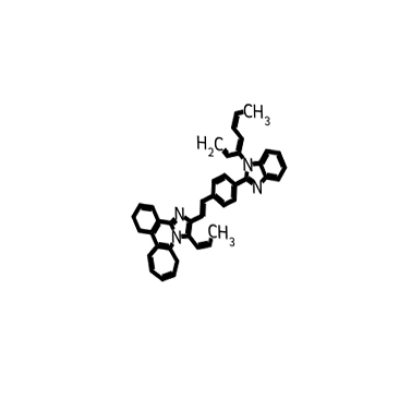 C=C/C(=C\C=C/C)n1c(-c2ccc(/C=C/c3nc4c5c(c6c(n4c3/C=C\C)CC=CC=C6)CCC=C5)cc2)nc2ccccc21